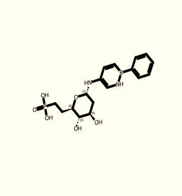 O=P(O)(O)CC[C@H]1O[C@H](NC2=CNB(c3ccccc3)C=C2)C[C@@H](O)[C@@H]1O